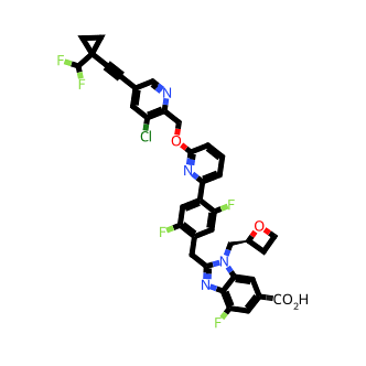 O=C(O)c1cc(F)c2nc(Cc3cc(F)c(-c4cccc(OCc5ncc(C#CC6(C(F)F)CC6)cc5Cl)n4)cc3F)n(C[C@@H]3CCO3)c2c1